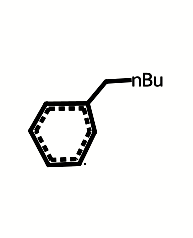 CCCCCc1c[c]ccc1